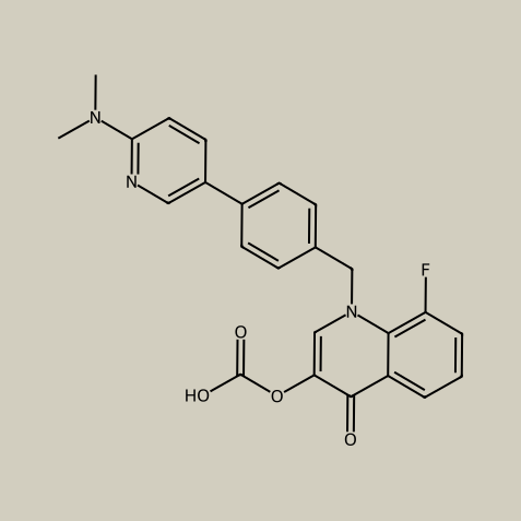 CN(C)c1ccc(-c2ccc(Cn3cc(OC(=O)O)c(=O)c4cccc(F)c43)cc2)cn1